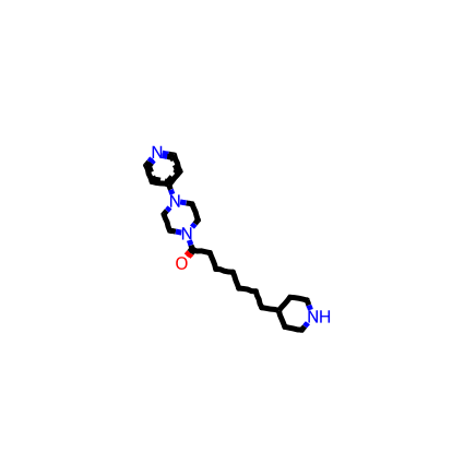 O=C(CCCCCCC1CCNCC1)N1CCN(c2ccncc2)CC1